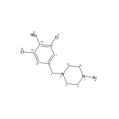 CC(=O)N1CCN(Cc2cc(Cl)c(C(C)(C)C)c(Cl)c2)CC1